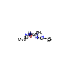 CCN(CCCCN1C[C@@H](c2ccc(C#Cc3ccccc3)nc2)[C@H]1CN(C)C)C(=O)Nc1ccc(OC)cc1